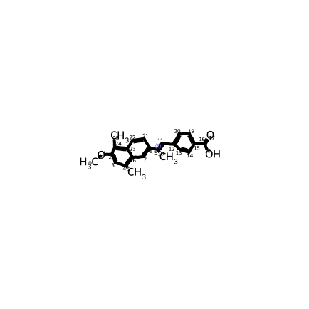 COc1cc(C)c2cc(/C(C)=C/c3ccc(C(=O)O)cc3)ccc2c1C